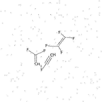 C#CF.C=C(F)F.FC(F)=C(F)F